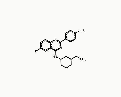 CCN1CCCC(Nc2nc(-c3ccc(C)cc3)nc3ccc(I)cc23)C1